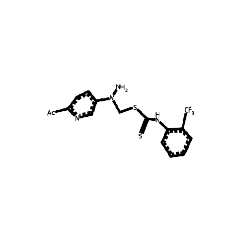 CC(=O)c1ccc(N(N)CSC(=S)Nc2ccccc2C(F)(F)F)cn1